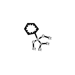 CCO[Si](OCC)(c1ccccc1)N(CC)CC